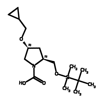 CC(C)(C)[Si](C)(C)OC[C@@H]1C[C@@H](OCC2CC2)CN1C(=O)O